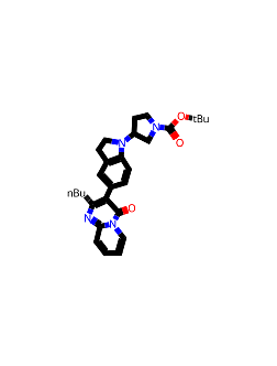 CCCCc1nc2ccccn2c(=O)c1-c1ccc2c(c1)CCN2C1CCN(C(=O)OC(C)(C)C)C1